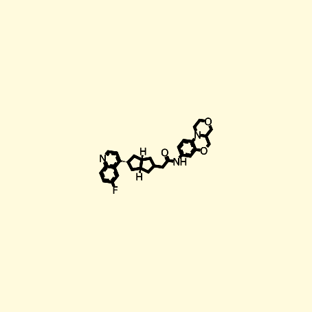 O=C(CC1C[C@@H]2C[C@H](c3ccnc4ccc(F)cc34)C[C@@H]2C1)Nc1ccc2c(c1)OCC1COCCN21